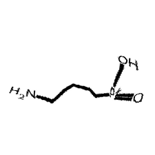 NCCC[P+](=O)O